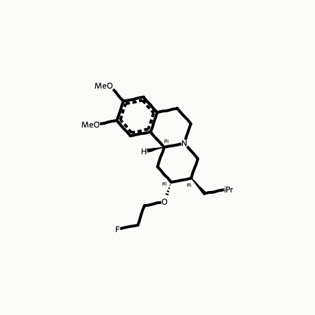 COc1cc2c(cc1OC)[C@H]1C[C@@H](OCCF)[C@H](CC(C)C)CN1CC2